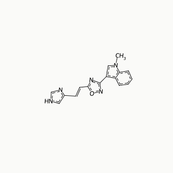 Cn1cc(-c2noc(/C=C/c3c[nH]cn3)n2)c2ccccc21